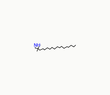 CCCCCCCCCCCCCCCCC(C)(C)C[NH]